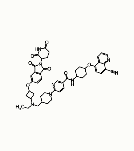 CCN(CC1CCN(c2ccc(C(=O)NC3CCC(Oc4ccc(C#N)c5ncccc45)CC3)cn2)CC1)C1CC(Oc2ccc3c(c2)C(=O)N(C2CCC(=O)NC2=O)C3=O)C1